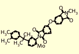 Cc1ccc(C(C)(C)c2cc[c]([Mo])c(N3C(=O)c4ccc(Oc5ccc6c(c5)C(=O)N(C)C6=O)cc4C3=O)c2)cc1C